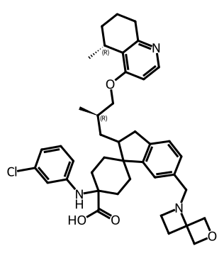 C[C@@H](COc1ccnc2c1[C@H](C)CCC2)CC1Cc2ccc(CN3CCC34COC4)cc2C12CCC(Nc1cccc(Cl)c1)(C(=O)O)CC2